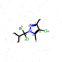 Cc1nn(C(Cl)(Br)C(C)C)c(C)c1Cl